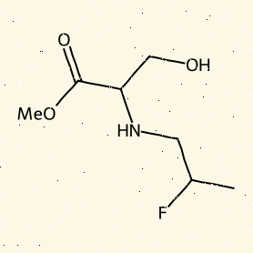 COC(=O)C(CO)NCC(C)F